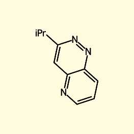 CC(C)c1cc2ncccc2nn1